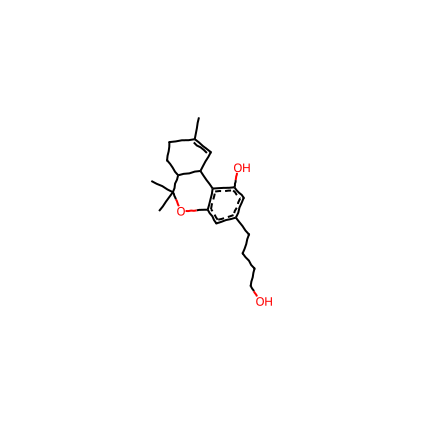 CC1=CC2c3c(O)cc(CCCCO)cc3OC(C)(C)C2CC1